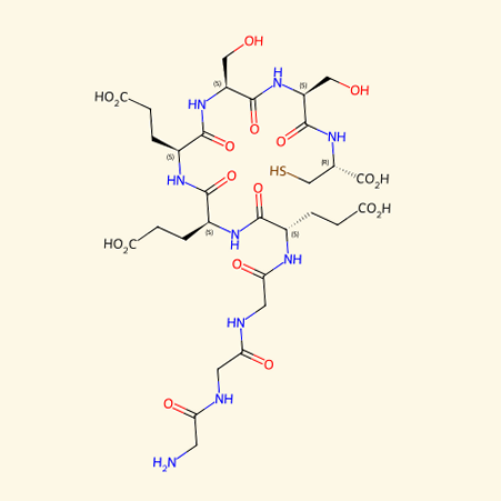 NCC(=O)NCC(=O)NCC(=O)N[C@@H](CCC(=O)O)C(=O)N[C@@H](CCC(=O)O)C(=O)N[C@@H](CCC(=O)O)C(=O)N[C@@H](CO)C(=O)N[C@@H](CO)C(=O)N[C@@H](CS)C(=O)O